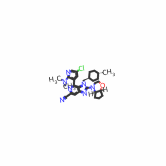 CN(C)c1ncc(Cl)cc1-c1nc(C#N)cc2nc(N3CCO[C@@H]4CCC[C@H]43)n(C[C@H]3CC[C@H](C)CC3)c12